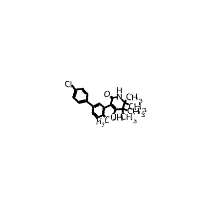 Cc1ccc(-c2ccc(Cl)cc2)cc1C1=C(O)C(C)(C)C(C)(C)NC1=O